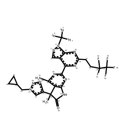 [2H]C([2H])([2H])n1ncc2c(-c3nc(N)c4c(n3)NC(=O)C4(C)c3cn(CC4CC4)nn3)nc(CCC(F)(F)C(F)(F)F)nc21